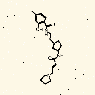 Cc1ccc(C(=O)NCCC2CCC(NC(=O)C=CCN3CCCC3)C2)c(O)c1